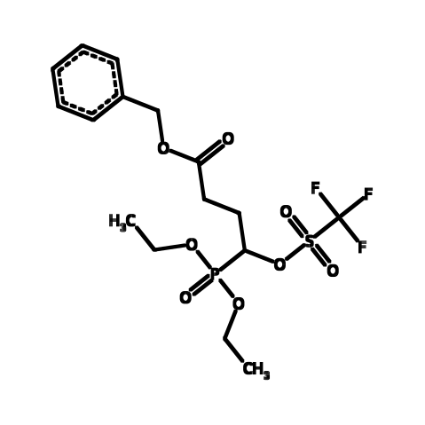 CCOP(=O)(OCC)C(CCC(=O)OCc1ccccc1)OS(=O)(=O)C(F)(F)F